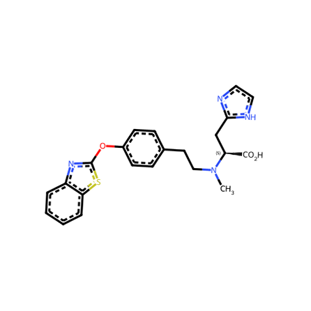 CN(CCc1ccc(Oc2nc3ccccc3s2)cc1)[C@@H](Cc1ncc[nH]1)C(=O)O